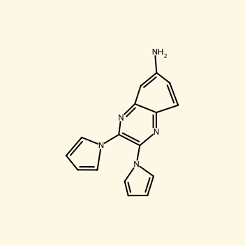 Nc1ccc2nc(-n3cccc3)c(-n3cccc3)nc2c1